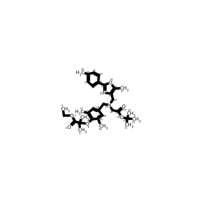 CCOC(=O)C(C)(C)Oc1c(C)cc(CN(CC(=O)OC(C)(C)C)Cc2nc(-c3ccc(C)cc3)oc2C)cc1C